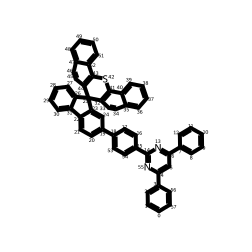 c1ccc(-c2cc(-c3ccccc3)nc(-c3ccc(-c4ccc5c(c4)C4(c6ccccc6-5)c5ccc6ccccc6c5Sc5c4ccc4ccccc54)cc3)n2)cc1